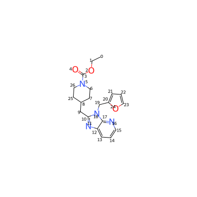 CCOC(=O)N1CCC(Cc2nc3cccnc3n2Cc2ccco2)CC1